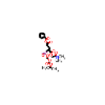 CC(C)OC(=O)OCO[PH](=O)CC(CCC(=O)OC(=O)c1ccccc1)C(=O)OCC(=O)N(C)C